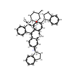 CC1CCN(S(=O)(=O)c2ccccc2-c2c3cc/c(=[N+]4/CCc5ccccc54)cc-3oc3cc(N4CCc5ccccc54)ccc23)CC1